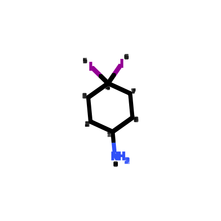 NC1CCC(I)(I)CC1